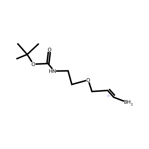 B/C=C/COCCNC(=O)OC(C)(C)C